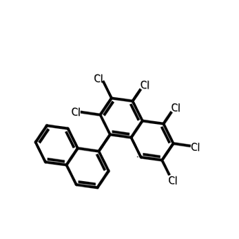 Clc1[c]c2c(-c3cccc4ccccc34)c(Cl)c(Cl)c(Cl)c2c(Cl)c1Cl